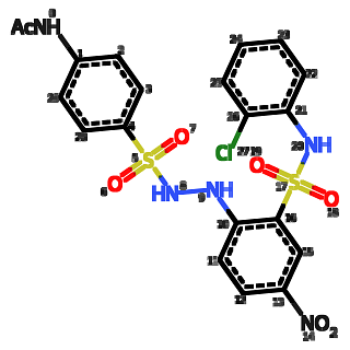 CC(=O)Nc1ccc(S(=O)(=O)NNc2ccc([N+](=O)[O-])cc2S(=O)(=O)Nc2ccccc2Cl)cc1